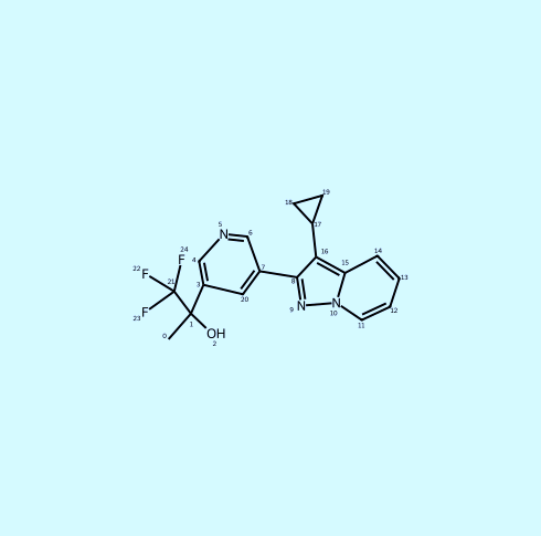 CC(O)(c1cncc(-c2nn3ccccc3c2C2CC2)c1)C(F)(F)F